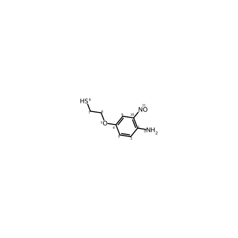 Nc1ccc(OCCS)cc1N=O